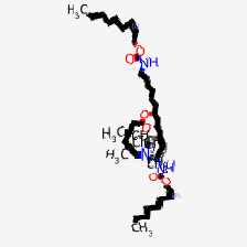 CCCCCC/C=C\COC(=O)NCCCCCCC(CCCCCCNC(=O)OC/C=C\CCCCCC)OC(=O)CC(C)(C)CC(C)(C)CN(C)C